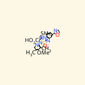 COc1c(C)cnc(N([C@@H](CCSC)C(=O)O)[S+]([O-])c2nc3cc(C4=NCCO4)ccc3[nH]2)c1C